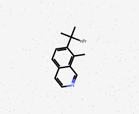 CCCC(C)(C)c1ccc2ccncc2c1C